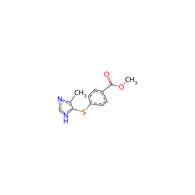 COC(=O)c1ccc(Sc2[nH]cnc2C)cc1